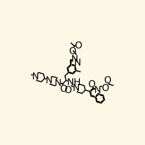 CC(=O)OCn1cc2cc(CC(NC(=O)N3CCC(c4cc5ccccc5n(COC(C)=O)c4=O)CC3)C(=O)N3CCN(C4CCN(C)CC4)CC3)cc(C)c2n1